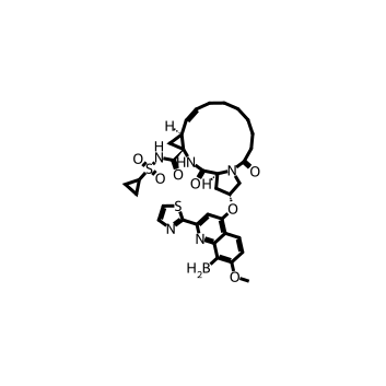 Bc1c(OC)ccc2c(O[C@@H]3C[C@H]4C(=O)N[C@]5(C(=O)NS(=O)(=O)C6CC6)C[C@H]5/C=C\CCCCCCC(=O)N4C3)cc(-c3nccs3)nc12